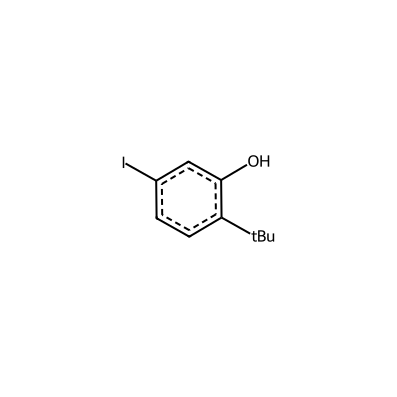 CC(C)(C)c1ccc(I)cc1O